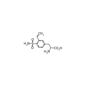 C=Cc1cc(CC(N)C(=O)O)ccc1S(N)(=O)=O